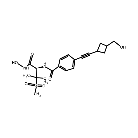 CC(C)([C@H](NC(=O)c1ccc(C#CC2CC(CO)C2)cc1)C(=O)NO)S(C)(=O)=O